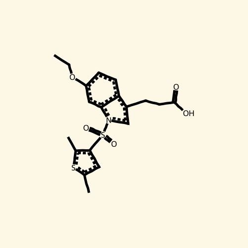 CCOc1ccc2c(CCC(=O)O)cn(S(=O)(=O)c3cc(C)sc3C)c2c1